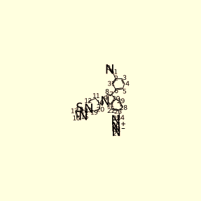 N#Cc1cccc(-c2cn(C3CCN(c4nccs4)CC3)c3cc(CN=[N+]=[N-])ccc23)c1